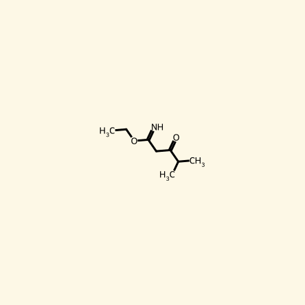 CCOC(=N)CC(=O)C(C)C